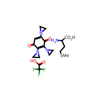 CSCCC(N)C(=O)O.O=C(O)C(F)(F)F.O=C1C=C(N2CC2)C(=O)C(N2CC2)=C1N1CC1